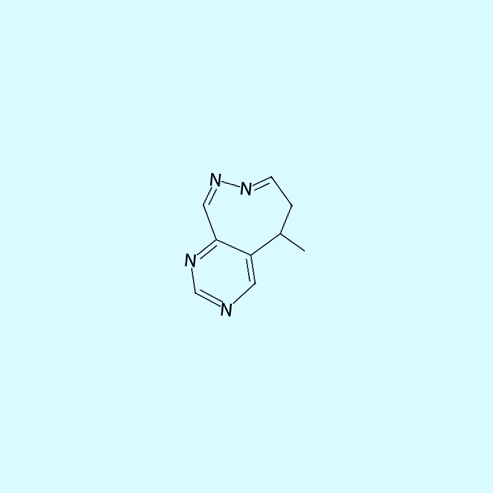 CC1C/C=N/N=C\c2ncncc21